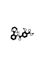 COC(=O)c1ccc(C(=O)Nc2ccccc2C2=NCCCO2)cc1OC